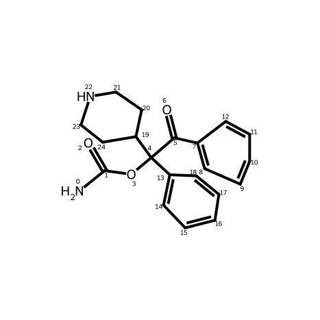 NC(=O)OC(C(=O)c1ccccc1)(c1ccccc1)C1CCNCC1